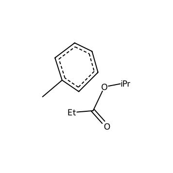 CCC(=O)OC(C)C.Cc1ccccc1